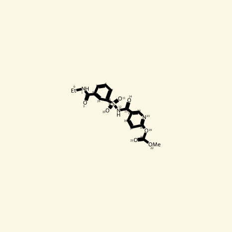 CCNC(=O)c1cccc(S(=O)(=O)NC(=O)c2ccc(OC(=O)OC)nc2)c1